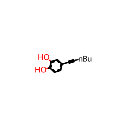 CCCCC#Cc1ccc(O)c(O)c1